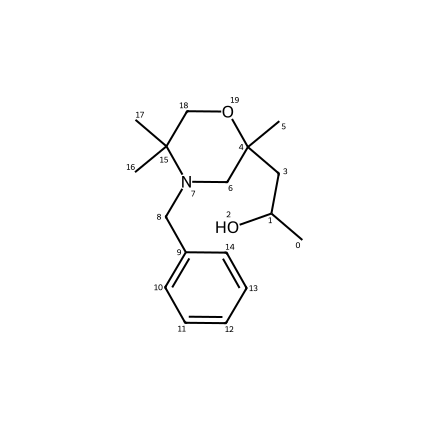 CC(O)CC1(C)CN(Cc2ccccc2)C(C)(C)CO1